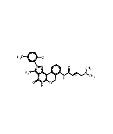 Cc1ccc(Cl)c(-n2nc3c4c([nH]c(=O)c3c2N)OCc2c(NC(=O)/C=C/CN(C)C)cccc2-4)c1